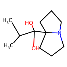 CC(C)C(O)(O)C12CCCN1CCC2